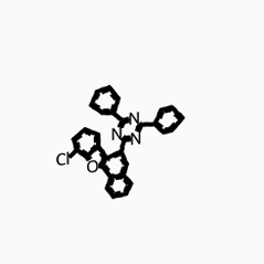 Clc1cccc2c1oc1c3ccccc3cc(-c3nc(-c4ccccc4)nc(-c4ccccc4)n3)c21